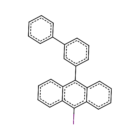 Ic1c2ccccc2c(-c2cccc(-c3ccccc3)c2)c2ccccc12